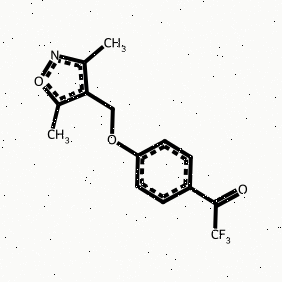 Cc1noc(C)c1COc1ccc(C(=O)C(F)(F)F)cc1